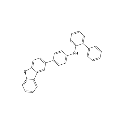 c1ccc(-c2ccccc2Nc2ccc(-c3ccc4sc5ccccc5c4c3)cc2)cc1